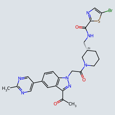 CC(=O)c1nn(CC(=O)N2CCC[C@@H](CNC(=O)c3ncc(Br)s3)C2)c2ccc(-c3cnc(C)nc3)cc12